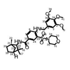 COc1cc(CNc2ccc(C(=O)NC3C(C)(C)[C@@H]4CC[C@@]3(C)C4)cc2S(=O)(=O)N2CCOCC2)cc(OC)c1OC